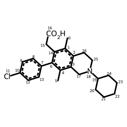 Cc1c2c(c(C)c(-c3ccc(Cl)cc3)c1CC(=O)O)CN(C1CCCCC1)CC2